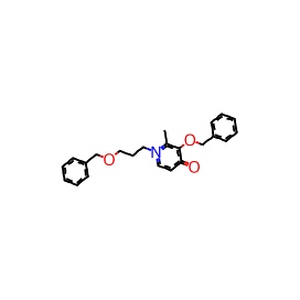 Cc1c(OCc2ccccc2)c(=O)ccn1CCCOCc1ccccc1